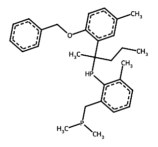 CCCC(C)(Pc1c(C)cccc1CP(C)C)c1cc(C)ccc1OCc1ccccc1